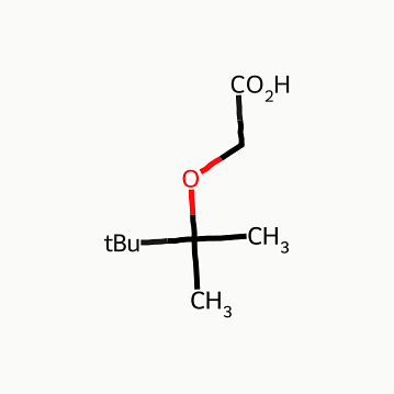 CC(C)(C)C(C)(C)OCC(=O)O